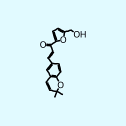 CC1(C)C=Cc2cc(C=CC(=O)c3ccc(CO)o3)ccc2O1